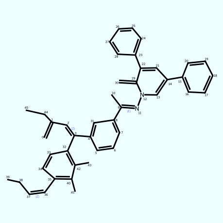 C=C(/C=C(/c1cccc(/C(C)=N/N2C=C(c3ccccc3)C=C(c3ccccc3)C2=C)c1)c1ccc(/C=C\CC)c(C)c1C)CC